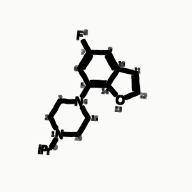 CC(C)N1CCN(c2cc(F)cc3ccoc23)CC1